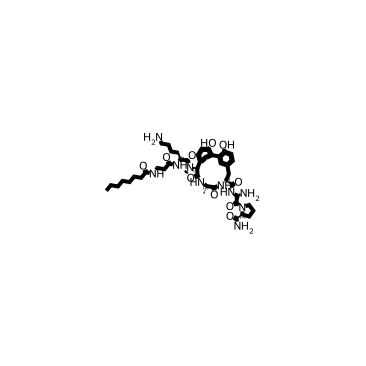 CCCCCCCC(=O)NCCC(=O)N[C@@H](CCCCN)C(=O)N(C)[C@@H]1C(=O)N[C@@H](C)C(=O)N[C@H](C(=O)N[C@@H](N)C(=O)N2CCC[C@H]2C(N)=O)Cc2ccc(O)c(c2)-c2cc1ccc2O